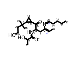 C/C=C(CC(NC(=O)C(C)O)C(=O)C1CC1C(C)(C)CCO)\N=C/CCCC